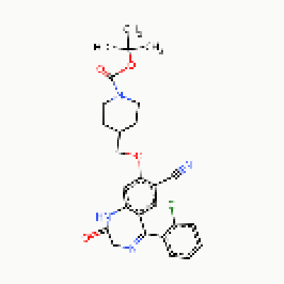 CC(C)(C)OC(=O)N1CCC(COc2cc3c(cc2C#N)C(c2ccccc2Cl)=NCC(=O)N3)CC1